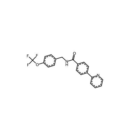 O=C(NCc1ccc(OC(F)(F)F)cc1)c1ccc(-c2ccccn2)cc1